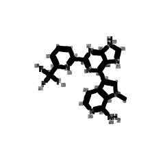 Cn1cc(-c2nc(-c3cccc(C(F)(F)F)n3)nc3[nH]cnc23)c2ccnc(N)c21